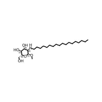 CCCCCCCCCCCCCCCCCCN[C@H]1[C@@H](OC)O[C@H](CO)[C@@H](O)[C@@H]1O